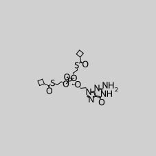 Nc1nc2c(ncn2CCOCP(=O)(OCCSC(=O)C2CCC2)OCCSC(=O)C2CCC2)c(=O)[nH]1